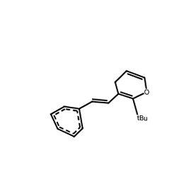 CC(C)(C)C1=C(C=Cc2ccccc2)CC=CO1